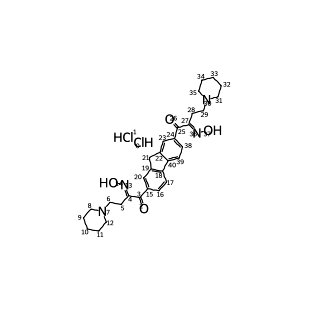 Cl.Cl.O=C(C(CCN1CCCCC1)=NO)c1ccc2c(c1)Cc1cc(C(=O)C(CCN3CCCCC3)=NO)ccc1-2